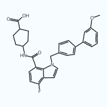 COc1cccc(-c2ccc(Cn3ccc4c(F)ccc(C(=O)NC5CCC(C(=O)O)CC5)c43)cc2)c1